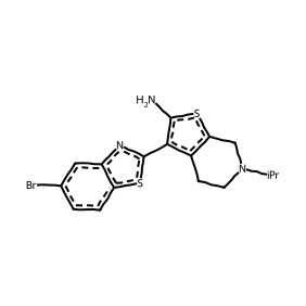 CC(C)N1CCc2c(sc(N)c2-c2nc3cc(Br)ccc3s2)C1